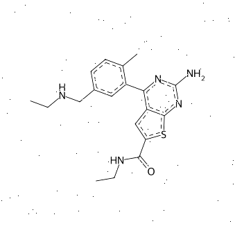 CCNCc1ccc(C)c(-c2nc(N)nc3sc(C(=O)NCC)cc23)c1